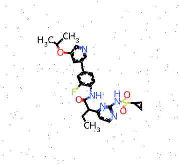 CCC(C(=O)Nc1ccc(-c2cncc(OC(C)C)c2)cc1F)c1ccnc(NS(=O)(=O)C2CC2)n1